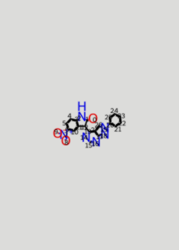 O=C1Nc2ccc([N+](=O)[O-])cc2C1c1ncnc2nn(-c3ccccc3)cc12